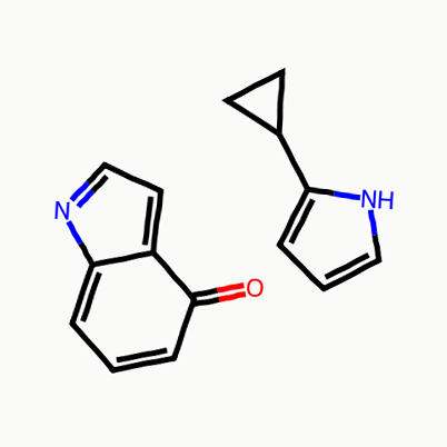 O=C1C=CC=C2N=CC=C12.c1c[nH]c(C2CC2)c1